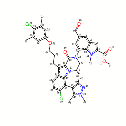 COC(=O)c1cc2cc(C=O)cc(N3C[C@@H](C)n4c(c(CCCOc5cc(C)c(Cl)c(C)c5)c5ccc(Cl)c(-c6c(C)nn(C)c6C)c54)C3=O)c2n1C